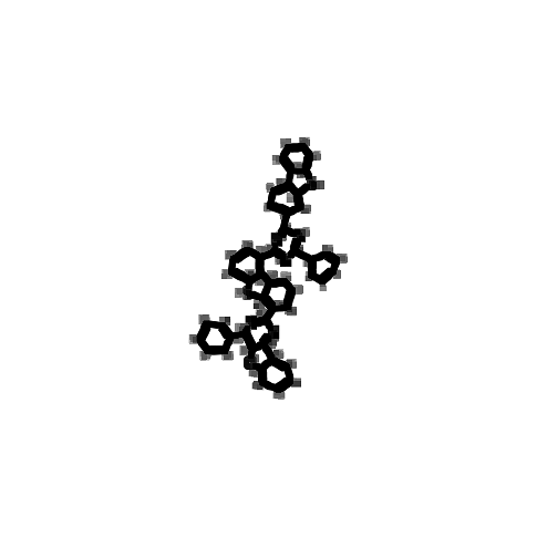 c1ccc(-c2nc(-c3ccc4c(c3)sc3ccccc34)nc(-c3cccc4sc5c(-c6nc(-c7ccccc7)c7oc8ccccc8c7n6)cccc5c34)n2)cc1